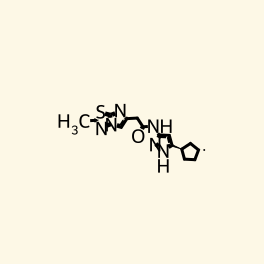 Cc1nn2cc(CC(=O)Nc3cc([C@H]4C[CH]CC4)[nH]n3)nc2s1